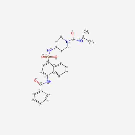 CC(C)NC(=O)N1CCC(NS(=O)(=O)c2ccc(NC(=O)c3ccccc3)c3ccccc23)CC1